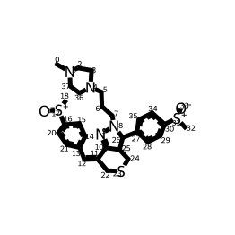 CN1CCN(CCCN2N=C3/C(=C\c4ccc([S+](C)[O-])cc4)CSCC3C2c2ccc([S+](C)[O-])cc2)CC1